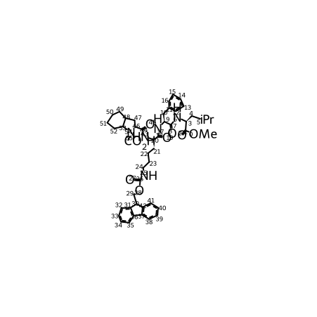 COC(=O)[C@H](CC(C)C)NC(=O)[C@H](Cc1ccccc1)NC(=O)[C@H](CCCCNC(=O)OCC1c2ccccc2-c2ccccc21)NC(=O)C1CC2CCCCC2N1C(=O)O